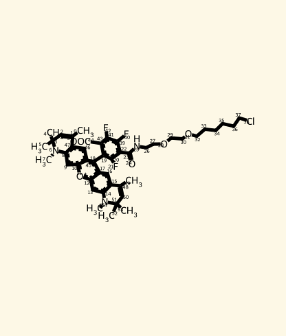 CC1=CC(C)(C)N(C)c2cc3[o+]c4cc5c(cc4c(-c4c(F)c(C(=O)NCCOCCOCCCCCCCl)c(F)c(F)c4C(=O)[O-])c3cc21)C(C)=CC(C)(C)N5C